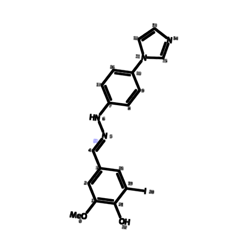 COc1cc(/C=N/Nc2ccc(-n3ccnc3)cc2)cc(I)c1O